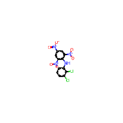 O=[N+]([O-])c1cc([N+](=O)[O-])c(Nc2cccc(Cl)c2Cl)c([N+](=O)[O-])c1